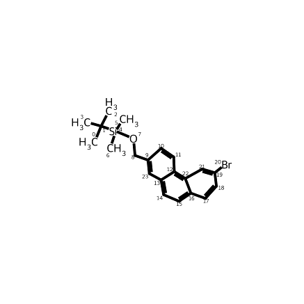 CC(C)(C)[Si](C)(C)OCc1ccc2c(ccc3ccc(Br)cc32)c1